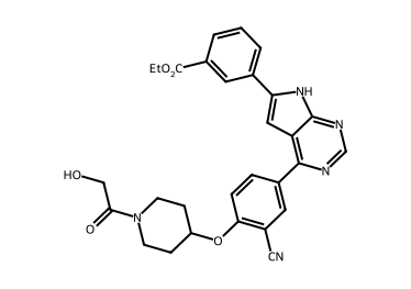 CCOC(=O)c1cccc(-c2cc3c(-c4ccc(OC5CCN(C(=O)CO)CC5)c(C#N)c4)ncnc3[nH]2)c1